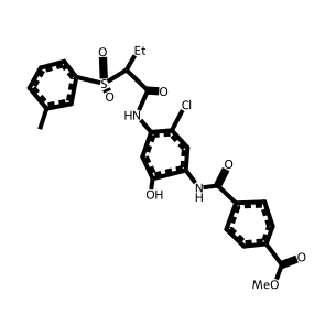 CCC(C(=O)Nc1cc(O)c(NC(=O)c2ccc(C(=O)OC)cc2)cc1Cl)S(=O)(=O)c1cccc(C)c1